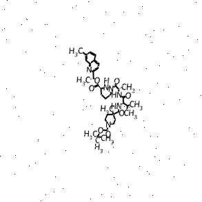 Cc1ccc2ccc([C@@H](C)OC(=O)[C@@H]3CCCN(C(=O)[C@H](C)NC(=O)[C@@H](NC(=O)C4(C)CCN(C(=O)OC(C)(C)C)CC4)C(C)C)N3)nc2c1